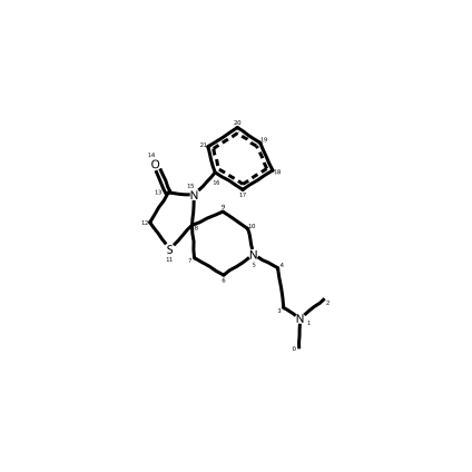 CN(C)CCN1CCC2(CC1)SCC(=O)N2c1ccccc1